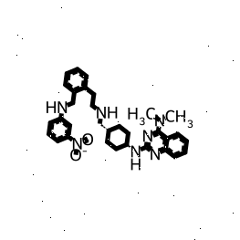 CN(C)c1nc(N[C@H]2CC[C@@H](CNCCc3ccccc3CNc3cccc([N+](=O)[O-])c3)CC2)nc2ccccc12